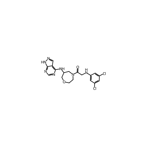 O=C(CNc1cc(Cl)cc(Cl)c1)N1CCOCC(Nc2ncnc3[nH]ncc23)C1